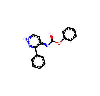 O=C(N=c1cc[nH]nc1-c1ccccc1)Oc1ccccc1